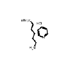 CCCCCCCCCCCCN.Cl.c1ccncc1